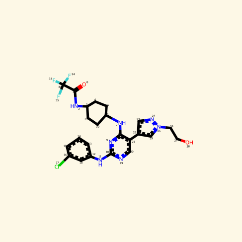 O=C(NC1CCC(Nc2nc(Nc3cccc(Cl)c3)ncc2-c2cnn(CCO)c2)CC1)C(F)(F)F